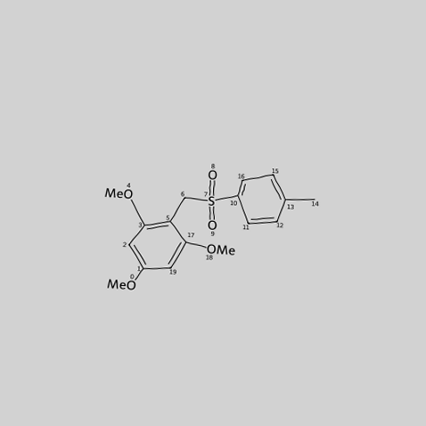 COc1cc(OC)c(CS(=O)(=O)c2ccc(C)cc2)c(OC)c1